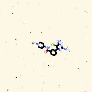 CC(C)N1CCC(NC(=O)c2cccc(-c3nc(N)nc(N)c3Cl)c2)CC1